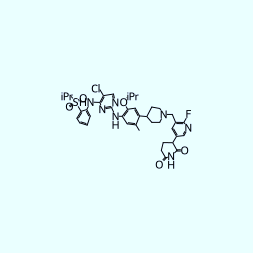 Cc1cc(Nc2ncc(Cl)c(Nc3ccccc3S(=O)(=O)C(C)C)n2)c(OC(C)C)cc1C1CCN(Cc2cc(C3CCC(=O)NC3=O)cnc2F)CC1